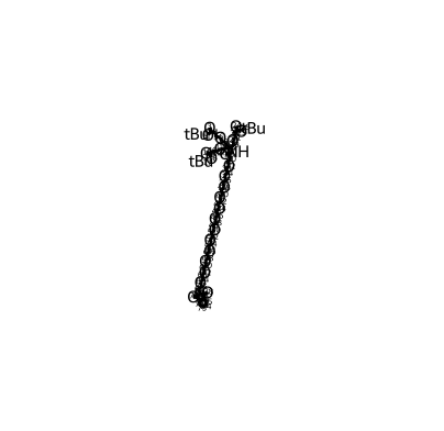 CC(C)(C)OC(=O)CCOCCC(COCCC(=O)OC(C)(C)C)C(COCCC(=O)OC(C)(C)C)NC(=O)CCOCCOCCOCCOCCOCCOCCOCCOCCOCCOCCOCCOCCN1C(=O)c2ccccc2C1=O